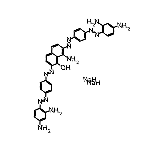 Nc1ccc(N=Nc2ccc(N=Nc3ccc4ccc(N=Nc5ccc(N=Nc6ccc(N)cc6N)cc5)c(O)c4c3N)cc2)c(N)c1.[NaH].[NaH]